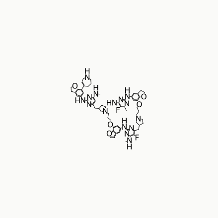 CNc1cc(CC2CCN(CCCOc3cc(Nc4nc(CC5CCN(CCCOc6cc(Nc7nc(C)c(F)c(NC)n7)cc7c6OCC7)C5)c(F)c(NC)n4)cc4ccoc34)C2)nc(Nc2cc3c(c(C4=CCNCCC4)c2)OCC3)n1